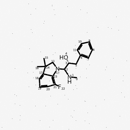 CNC([C@H](O)Cc1ccccc1)N1CC(C)(C)c2cccc(F)c21